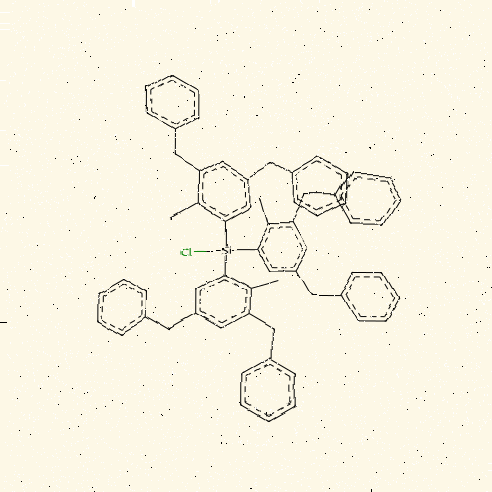 Cc1c(Cc2ccccc2)cc(Cc2ccccc2)cc1[Si](Cl)(c1cc(Cc2ccccc2)cc(Cc2ccccc2)c1C)c1cc(Cc2ccccc2)cc(Cc2ccccc2)c1C